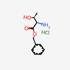 C[C@H](O)[C@@H](N)C(=O)OCc1ccccc1.Cl